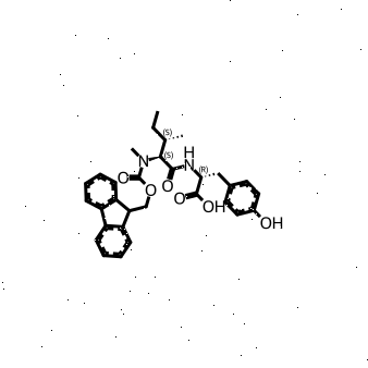 CC[C@H](C)[C@@H](C(=O)N[C@H](Cc1ccc(O)cc1)C(=O)O)N(C)C(=O)OCC1c2ccccc2-c2ccccc21